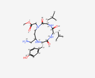 COC(=O)CN1CCC(CN)N[C@@H](Cc2ccc(O)cc2)C(=O)N[C@@H](CC(C)C)C(=O)N[C@@H](CC(C)C)C1=O